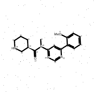 COc1ccccc1-c1cc(N(C)C(=O)[C@@H]2CCCNC2)ncn1